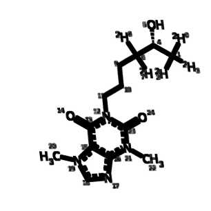 [2H]C([2H])([2H])[C@@H](O)C([2H])([2H])CCCn1c(=O)c2c(ncn2C)n(C)c1=O